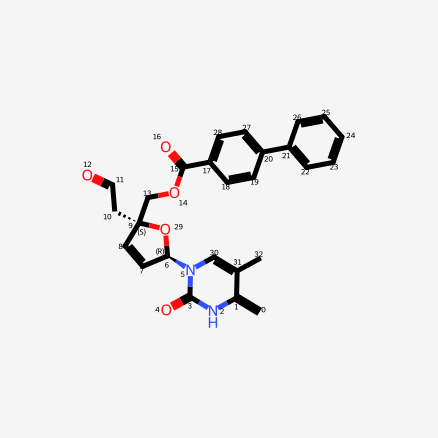 C=C1NC(=O)N([C@H]2C=C[C@@](CC=O)(COC(=O)c3ccc(-c4ccccc4)cc3)O2)C=C1C